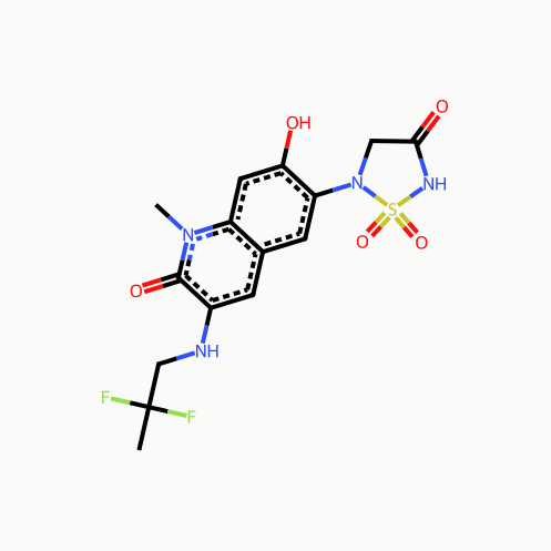 Cn1c(=O)c(NCC(C)(F)F)cc2cc(N3CC(=O)NS3(=O)=O)c(O)cc21